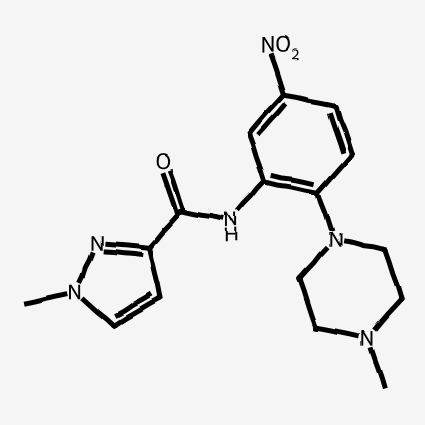 CN1CCN(c2ccc([N+](=O)[O-])cc2NC(=O)c2ccn(C)n2)CC1